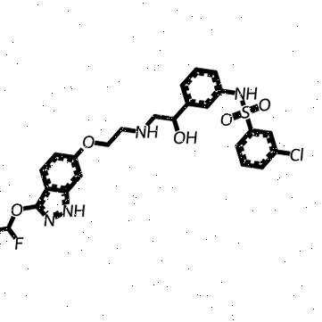 O=S(=O)(Nc1cccc(C(O)CNCCOc2ccc3c(OC(F)F)n[nH]c3c2)c1)c1cccc(Cl)c1